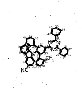 N#Cc1ccc2c(c1)c1ccccc1n2-c1c(-c2ccccc2C(F)(F)F)cc(-c2nc(-c3ccccc3)nc(-c3ccccc3)n2)cc1-c1ccccc1C(F)(F)F